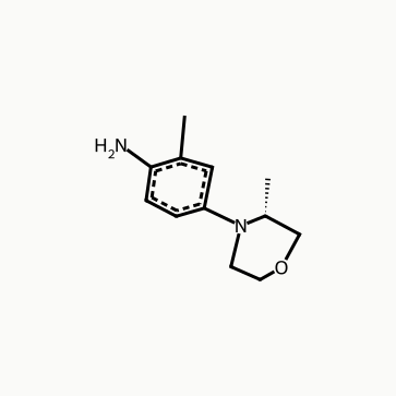 Cc1cc(N2CCOC[C@H]2C)ccc1N